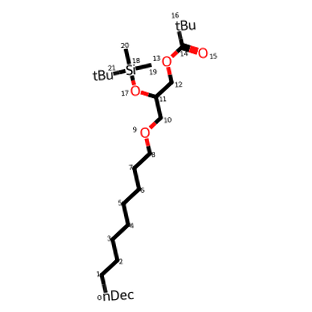 CCCCCCCCCCCCCCCCCCOCC(COC(=O)C(C)(C)C)O[Si](C)(C)C(C)(C)C